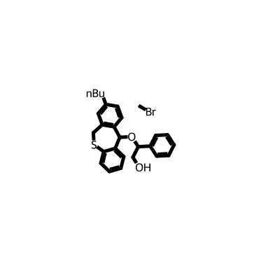 CBr.CCCCc1ccc2c(c1)CSc1ccccc1C2OC(CO)c1ccccc1